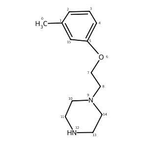 Cc1cccc(OCCN2CCNCC2)c1